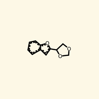 c1ccc2oc(C3COCO3)cc2c1